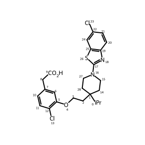 CC(C)C1(CCOc2cc(CC(=O)O)ccc2Cl)CCN(c2nc3ccc(Cl)cc3s2)CC1